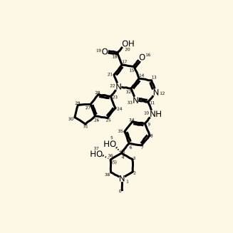 CN1CC[C@](O)(c2ccc(Nc3ncc4c(=O)c(C(=O)O)cn(-c5ccc6c(c5)CCC6)c4n3)cc2)[C@@H](O)C1